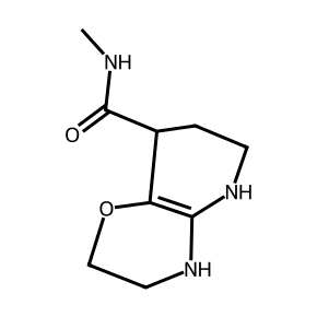 CNC(=O)C1CCNC2=C1OCCN2